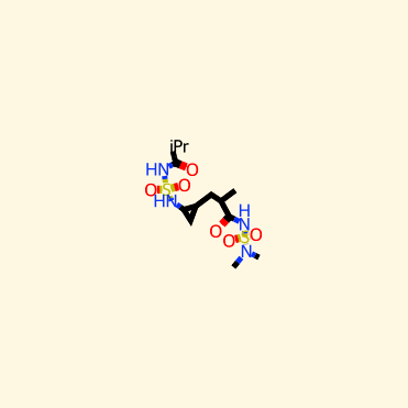 CC(C)C(=O)NS(=O)(=O)NC1CC1CC(C)C(=O)NS(=O)(=O)N(C)C